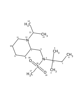 CCC(C)(C)N(CC1CCCCN1C(C)C)S(C)(=O)=O